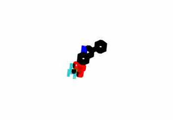 O=S(=O)(Oc1ccc2ncc(-c3ccccc3)cc2c1)C(F)(F)F